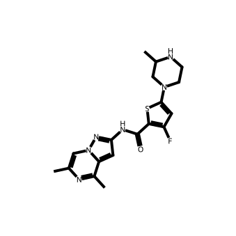 Cc1cn2nc(NC(=O)c3sc(N4CCNC(C)C4)cc3F)cc2c(C)n1